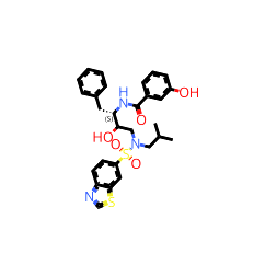 CC(C)CN(CC(O)[C@H](Cc1ccccc1)NC(=O)c1cccc(O)c1)S(=O)(=O)c1ccc2ncsc2c1